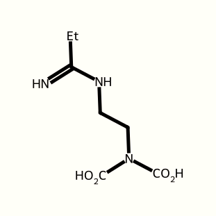 CCC(=N)NCCN(C(=O)O)C(=O)O